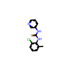 Cc1cccc(Cl)c1NC(=S)Nc1cccnc1